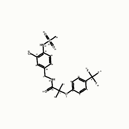 CC(C)(Oc1ccc(C(F)(F)F)cc1)C(=O)NCc1ccc(NS(C)(=O)=O)c(Cl)c1